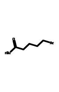 [CH2]CCCC(=O)CCCCC(C)=O